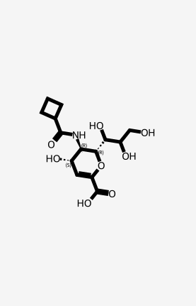 O=C(O)C1=C[C@H](O)[C@@H](NC(=O)C2CCC2)[C@H](C(O)C(O)CO)O1